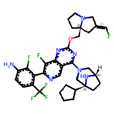 Nc1ccc(C(F)(F)F)c(-c2ncc3c(N4C[C@@H]5CC[C@](C6CCCC6)(C4)N5)nc(OC[C@@]45CCCN4C/C(=C/F)C5)nc3c2F)c1F